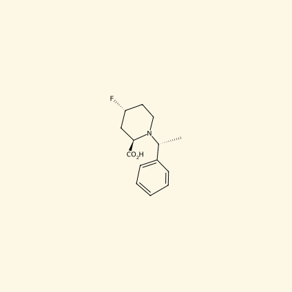 C[C@H](c1ccccc1)N1CC[C@@H](F)C[C@@H]1C(=O)O